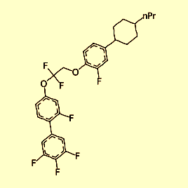 CCCC1CCC(c2ccc(OCC(F)(F)Oc3ccc(-c4cc(F)c(F)c(F)c4)c(F)c3)c(F)c2)CC1